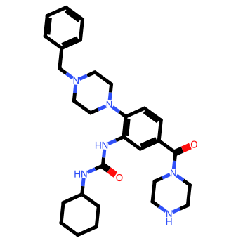 O=C(Nc1cc(C(=O)N2CCNCC2)ccc1N1CCN(Cc2ccccc2)CC1)NC1CCCCC1